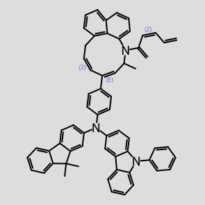 C=C/C=C\C(=C)N1c2cccc3cccc(c23)C/C=C\C(c2ccc(N(c3ccc4c(c3)C(C)(C)c3ccccc3-4)c3ccc4c(c3)c3ccccc3n4-c3ccccc3)cc2)=C/C1C